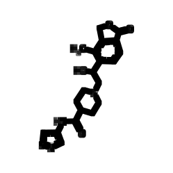 Cc1c(C(O)CN2CCC(C(=O)Nc3cnsc3)CC2)ccc2c1COC2=O